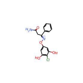 NC(=O)C/C(=N\Oc1cc(O)c(Cl)c(O)c1)c1ccccc1